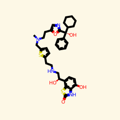 CN(CCc1cnc([C@](O)(c2ccccc2)C2CCCCC2)o1)Cc1ccc(CCNC[C@H](O)c2ccc(O)c3[nH]c(=O)sc23)s1